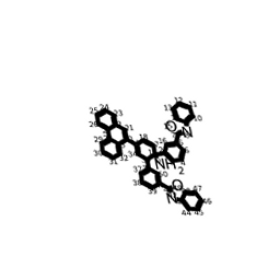 NC1(c2cccc(-c3nc4ccccc4o3)c2)C=CC(c2cc3ccccc3c3ccccc23)=CC1c1cccc(-c2nc3ccccc3o2)c1